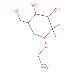 CC1(C)C(OCC(=O)O)CC(CO)C(O)C1O